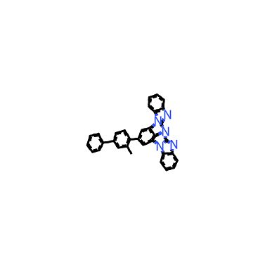 Cc1cc(-c2ccccc2)ccc1-c1cc2c3c(c1)n1c4ccccc4nc1n3c1nc3ccccc3n21